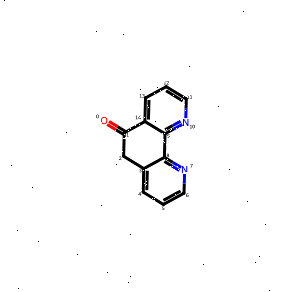 O=C1Cc2cccnc2-c2ncccc21